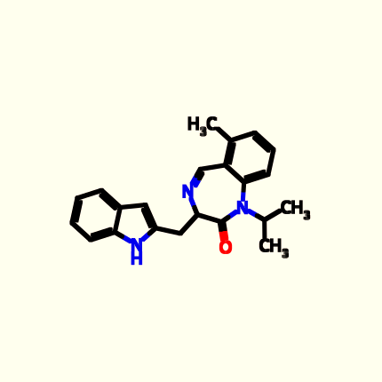 Cc1cccc2c1C=NC(Cc1cc3ccccc3[nH]1)C(=O)N2C(C)C